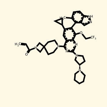 C=CC(=O)N1CC2(CCN(c3nc(N4CC[C@@H](N5CCCCC5)C4)nc4c(OCC(F)(F)F)c(-c5c(C)ccc6[nH]ncc56)c(C5CC5)cc34)CC2)C1